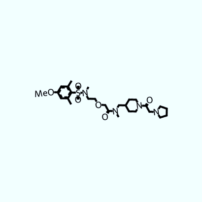 COc1cc(C)c(S(=O)(=O)N(C)CCOCC(=O)N(C)CC2CCN(C(=O)CN3CCCC3)CC2)c(C)c1